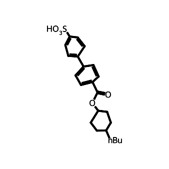 CCCCC1CCC(OC(=O)c2ccc(-c3ccc(S(=O)(=O)O)cc3)cc2)CC1